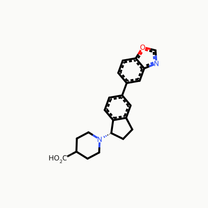 O=C(O)C1CCN([C@H]2CCc3cc(-c4ccc5ocnc5c4)ccc32)CC1